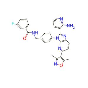 Cc1noc(C)c1-c1ccc2nc(-c3cccnc3N)n(-c3ccc(CNC(=O)c4cccc(F)c4)cc3)c2n1